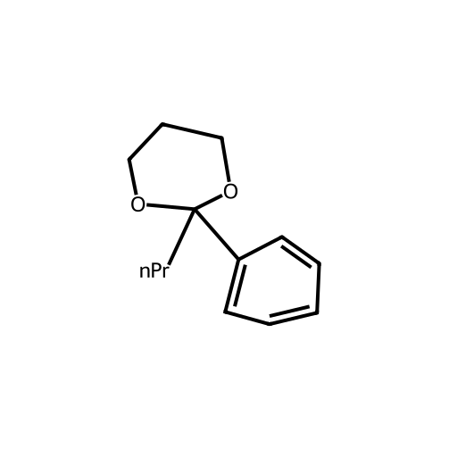 CCCC1(c2ccccc2)OCCCO1